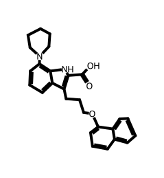 O=C(O)c1[nH]c2c(N3CCCCC3)cccc2c1CCCOc1cccc2ccccc12